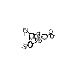 COC(=O)c1ccc(S(=O)(=O)N(Cc2ccc([Si](C)(C)C)cc2)c2ncc(C(F)(F)F)cc2Cl)cc1